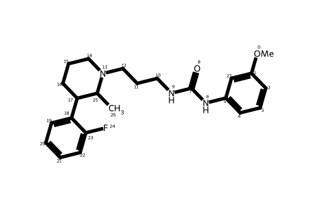 COc1cccc(NC(=O)NCCCN2CCCC(c3ccccc3F)C2C)c1